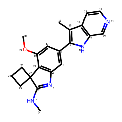 CNC1=Nc2cc(-c3[nH]c4cnccc4c3C)cc(OC)c2C12CCC2